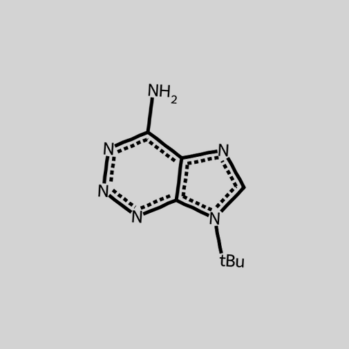 CC(C)(C)n1cnc2c(N)nnnc21